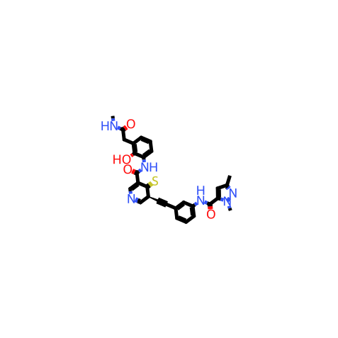 CNC(=O)Cc1cccc(NC(=O)C2=CN=C[C@H](C#Cc3cccc(NC(=O)c4cc(C)nn4C)c3)C2=S)c1O